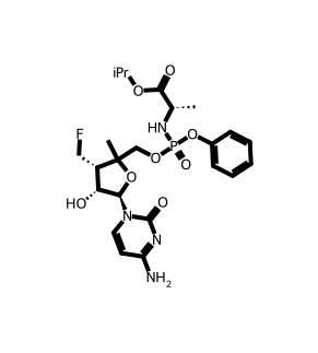 CC(C)OC(=O)[C@H](C)NP(=O)(OCC1(C)O[C@@H](n2ccc(N)nc2=O)[C@H](O)[C@@H]1CF)Oc1ccccc1